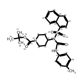 Cc1ccc(NC(=O)N(C2CCN(C(=O)OC(C)(C)C)CC2)S(=O)(=O)c2cccc3ccccc23)cc1